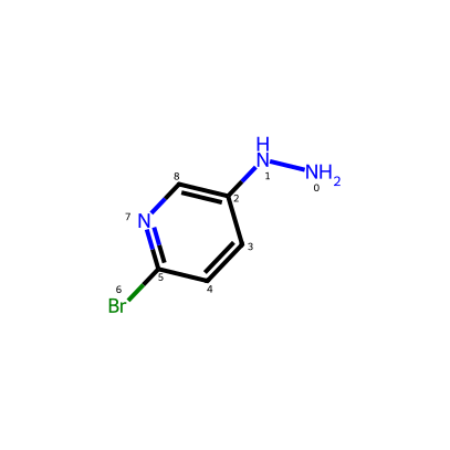 NNc1ccc(Br)nc1